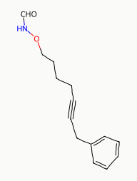 O=CNOCCCCC#CCc1ccccc1